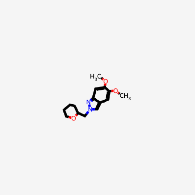 COc1cc2cn(CC3CCCCO3)nc2cc1OC